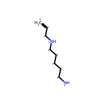 C=CCNCCCCC[NH]